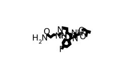 C=C1COC(c2nc(-c3ccc(F)cc3)c(-c3ccnc(NCCC(N)=O)n3)[nH]2)OC1